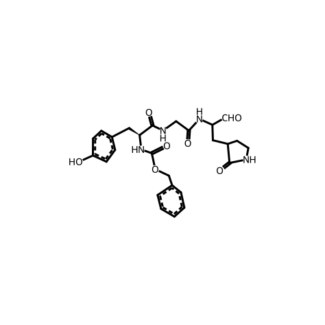 O=CC(CC1CCNC1=O)NC(=O)CNC(=O)[C@H](Cc1ccc(O)cc1)NC(=O)OCc1ccccc1